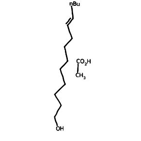 CC(=O)O.CCCCC=CCCCCCCCCO